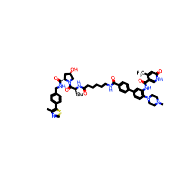 Cc1ncsc1-c1ccc(CNC(=O)[C@@H]2C[C@@H](O)CN2C(=O)[C@@H](NC(=O)CCCCCNC(=O)c2ccc(-c3ccc(N4CCN(C)CC4)c(NC(=O)c4c[nH]c(=O)cc4C(F)(F)F)c3)cc2)C(C)(C)C)cc1